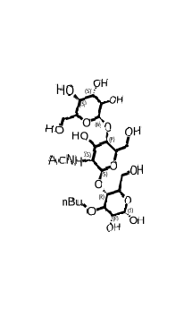 CCCCOC1[C@H](O[C@@H]2OC(CO)[C@H](O[C@H]3OC(CO)[C@@H](O)[C@H](O)C3O)C(O)[C@@H]2NC(C)=O)C(CO)O[C@H](O)[C@@H]1O